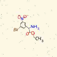 CCOC(=O)C(N)c1cc(Br)cc([N+](=O)[O-])c1